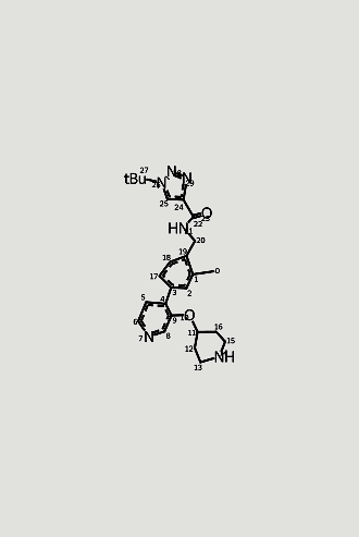 Cc1cc(-c2ccncc2OC2CCNCC2)ccc1CNC(=O)c1cn(C(C)(C)C)nn1